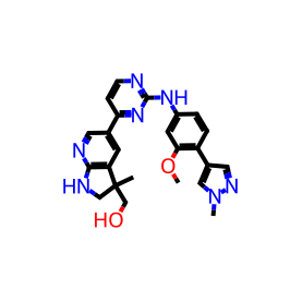 COc1cc(Nc2nccc(-c3cnc4c(c3)C(C)(CO)CN4)n2)ccc1-c1cnn(C)c1